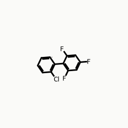 Fc1cc(F)c(-c2[c]cccc2Cl)c(F)c1